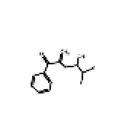 C=C(CC(O)C(F)F)C(=O)c1ccccc1